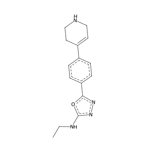 CCNc1nnc(-c2ccc(C3=CCNCC3)cc2)o1